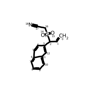 C=CC(c1ccc2ccccc2c1)S(=O)(=O)CC#N